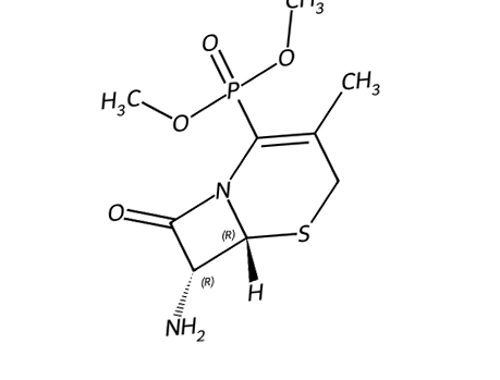 COP(=O)(OC)C1=C(C)CS[C@@H]2[C@H](N)C(=O)N12